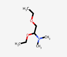 CCOCC(OCC)N(C)C